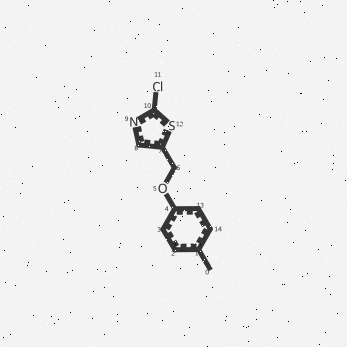 Cc1ccc(OCc2cnc(Cl)s2)cc1